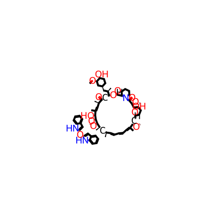 CO[C@H]1C[C@@H]2CC[C@@H](C)[C@@](O)(O2)C(=O)C(=O)N2CCCC[C@H]2C(=O)O[C@H]([C@H](C)C[C@@H]2CC[C@@H](O)[C@H](OC)C2)CC(=O)[C@H](C)/C=C(\C)[C@@H](O)[C@@H](OC)C(=O)[C@H](C)C[C@H](C)/C=C/C=C/C=C/1C.c1ccc2[nH]c(Oc3cc4ccccc4[nH]3)cc2c1